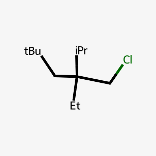 CCC(CCl)(CC(C)(C)C)C(C)C